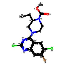 CC(C)(C)OC(=O)N1CCN(c2nc(Cl)nc3cc(Br)c(Cl)cc23)CC1CC#N